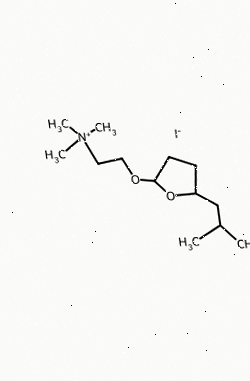 CC(C)CC1CCC(OCC[N+](C)(C)C)O1.[I-]